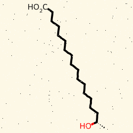 C[C@H](O)CCCCCCCCCCCCCCCC(=O)O